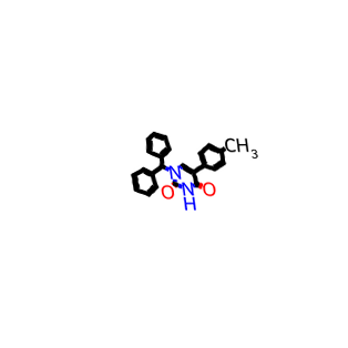 Cc1ccc(-c2cn(C(c3ccccc3)c3ccccc3)c(=O)[nH]c2=O)cc1